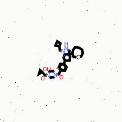 O=C(c1ccc(C2CCC3(C4CCCCCCCC4)CNN(CC4CCC4)C3C2)cc1)N1CCN(C(=O)C2(O)CC2)CC1